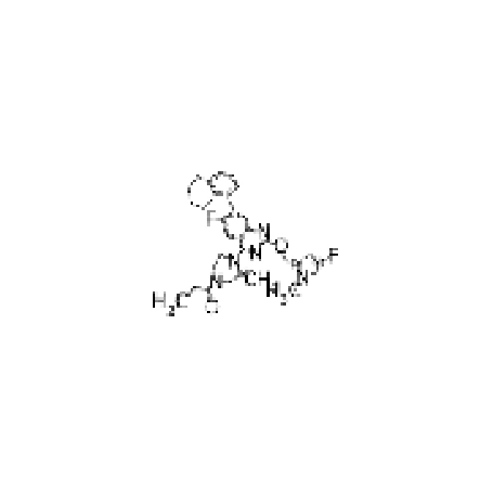 C=CC(=O)N1CCN(c2nc(OC[C@@H]3C[C@@H](F)CN3C)nc3cc(-c4cccc5c4CCCC5)c(F)cc23)[C@@H](C)C1